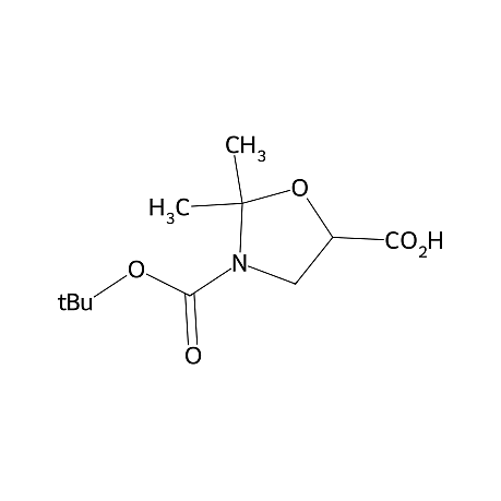 CC(C)(C)OC(=O)N1CC(C(=O)O)OC1(C)C